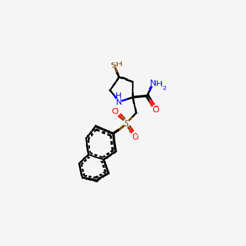 NC(=O)C1([CH]S(=O)(=O)c2ccc3ccccc3c2)CC(S)CN1